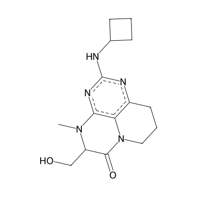 CN1c2nc(NC3CCC3)nc3c2N(CCC3)C(=O)C1CO